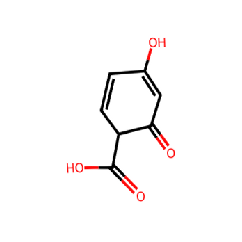 O=C(O)C1C=CC(O)=CC1=O